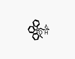 CCOP(CC[SiH](C)C)(c1ccccc1)(c1ccccc1)c1ccccc1